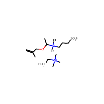 C=C(C)COC(C)[N+](CC)(CC)CCCS(=O)(=O)O.C[N+](C)(C)CC(=O)O